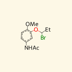 CCC(Br)Oc1cc(NC(C)=O)ccc1OC